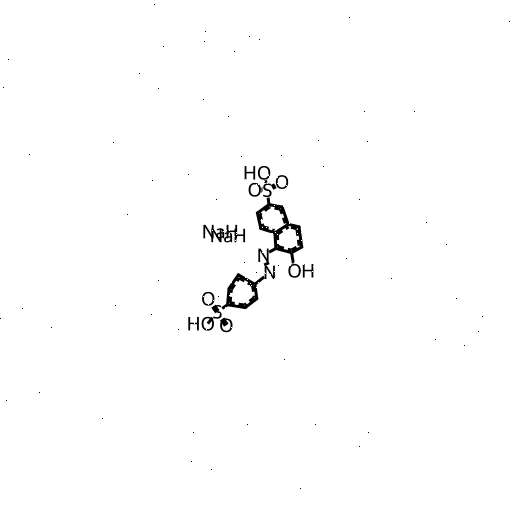 O=S(=O)(O)c1ccc(N=Nc2c(O)ccc3cc(S(=O)(=O)O)ccc23)cc1.[NaH].[NaH]